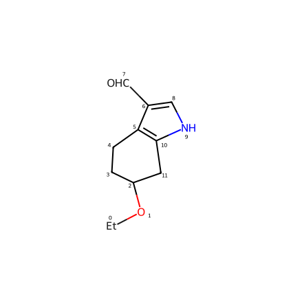 CCOC1CCc2c(C=O)c[nH]c2C1